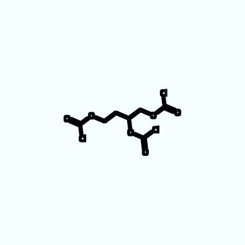 O=C(Cl)OCCC(COC(=O)Cl)OC(=O)Cl